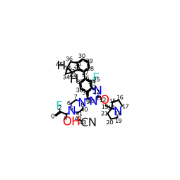 C=C(F)C(O)N1CCN(c2nc(OCC34CCCN3CCC4)nc3c(F)c(-c4cccc5c4[C@H]4C[C@H]4C5)ccc23)C[C@@H]1CC#N